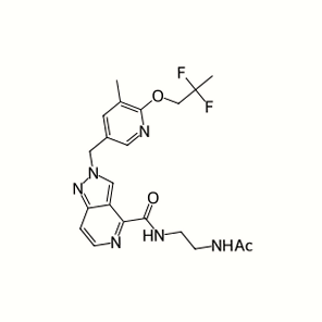 CC(=O)NCCNC(=O)c1nccc2nn(Cc3cnc(OCC(C)(F)F)c(C)c3)cc12